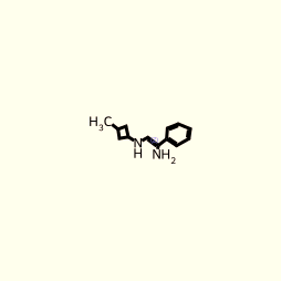 CC1CC(N/C=C(\N)c2ccccc2)C1